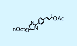 CCCCCCCCOc1cnc(-c2ccc(/C=C/C(C)OC(C)=O)cc2)nc1